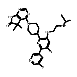 CC(C)NCCNc1cc(F)c(-c2cncc(F)c2)nc1C1CCN(c2ncnc3c2C(C)(C)C(=O)N3)CC1